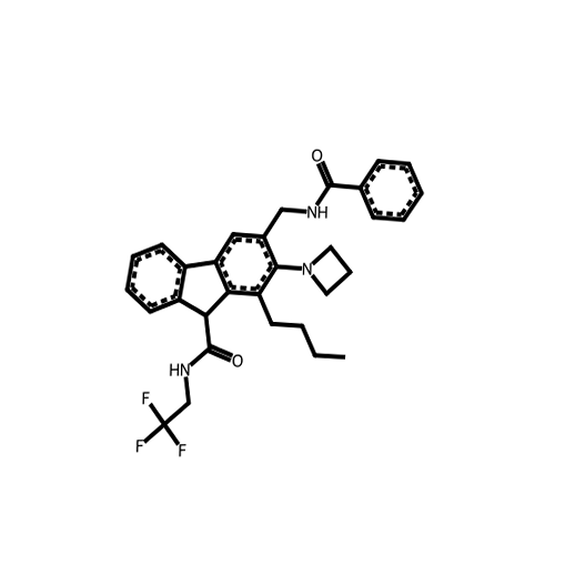 CCCCc1c2c(cc(CNC(=O)c3ccccc3)c1N1CCC1)-c1ccccc1C2C(=O)NCC(F)(F)F